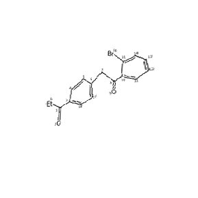 C[CH]C(=O)c1ccc(CC(=O)c2ccccc2Br)cc1